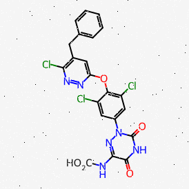 O=C(O)Nc1nn(-c2cc(Cl)c(Oc3cc(Cc4ccccc4)c(Cl)nn3)c(Cl)c2)c(=O)[nH]c1=O